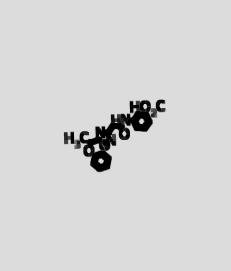 CC(Oc1ccccc1)c1nc(CC(=O)Nc2ccccc2C(=O)O)no1